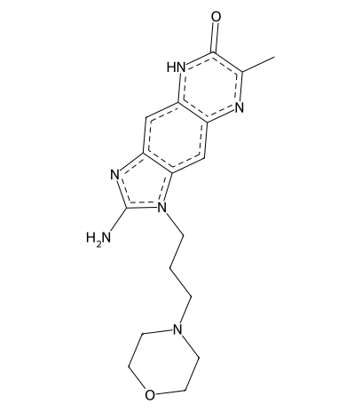 Cc1nc2cc3c(cc2[nH]c1=O)nc(N)n3CCCN1CCOCC1